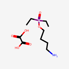 CCP(=O)(CC)OCCCCN.O=C(O)C(=O)O